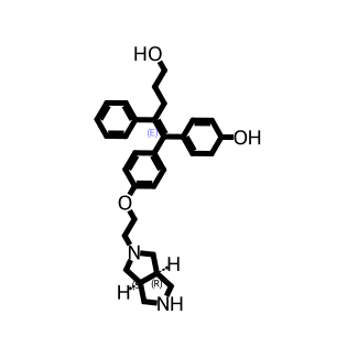 OCCC/C(=C(\C1=CCC(O)C=C1)c1ccc(OCCN2C[C@H]3CNC[C@H]3C2)cc1)c1ccccc1